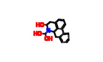 OC(O)N1C(O)Cc2cccc3c2C1Cc1ccccc1-3